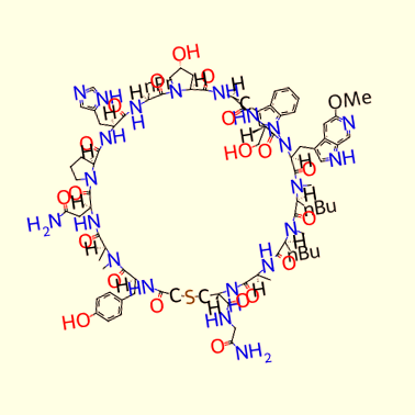 CCCC[C@H]1C(=O)N[C@@H](C)C(=O)N[C@H](C(=O)NCC(N)=O)CSCC(=O)N[C@@H](Cc2ccc(O)cc2)C(=O)N(C)[C@@H](C)C(=O)N[C@@H](CC(N)=O)C(=O)N2CCC[C@H]2C(=O)N[C@@H](Cc2cnc[nH]2)C(=O)N[C@@H](CCC)C(=O)N2C[C@H](O)C[C@H]2C(=O)N[C@H]2Cc3cn(c4ccccc34)N(C(=O)[C@H](CO)NC2=O)[C@@H](Cc2c[nH]c3cnc(OC)cc23)C(=O)N(C)[C@@H](CCCC)C(=O)N1C